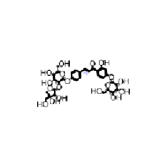 O=C(/C=C/c1ccc(O[C@@H]2O[C@H](CO)[C@@H](O)[C@H](O)[C@H]2O[C@@H]2OC[C@](O)(CO)[C@H]2O)cc1)c1ccc(O[C@@H]2O[C@H](CO)[C@@H](O)[C@H](O)[C@H]2O)cc1O